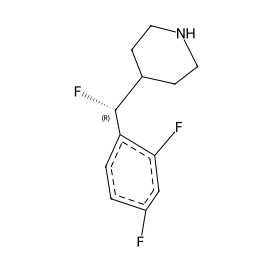 Fc1ccc([C@H](F)C2CCNCC2)c(F)c1